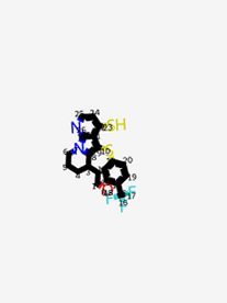 O=CCC1CCCn2c1c(Sc1ccc(C(F)(F)F)cc1)c1c(S)ccnc12